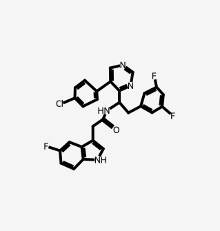 O=C(Cc1c[nH]c2ccc(F)cc12)NC(Cc1cc(F)cc(F)c1)c1ncncc1-c1ccc(Cl)cc1